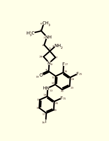 CC(C)NCC1(N)CN(C(=O)c2c(Nc3ccc(I)cc3F)ccc(F)c2F)C1